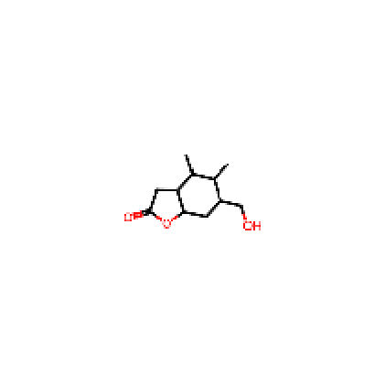 CC1C(CO)CC2OC(=O)CC2C1C